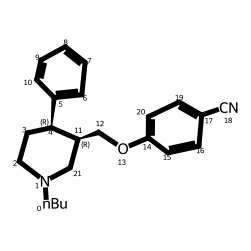 CCCCN1CC[C@@H](c2ccccc2)[C@@H](COc2ccc(C#N)cc2)C1